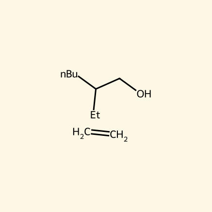 C=C.CCCCC(CC)CO